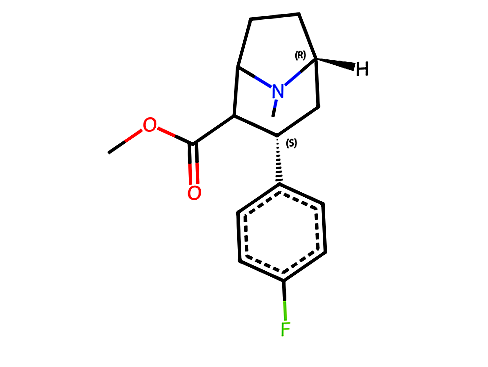 COC(=O)C1C2CC[C@H](C[C@@H]1c1ccc(F)cc1)N2C